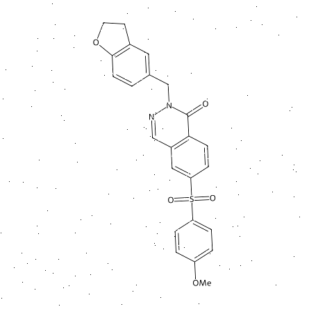 COc1ccc(S(=O)(=O)c2ccc3c(=O)n(Cc4ccc5c(c4)CCO5)ncc3c2)cc1